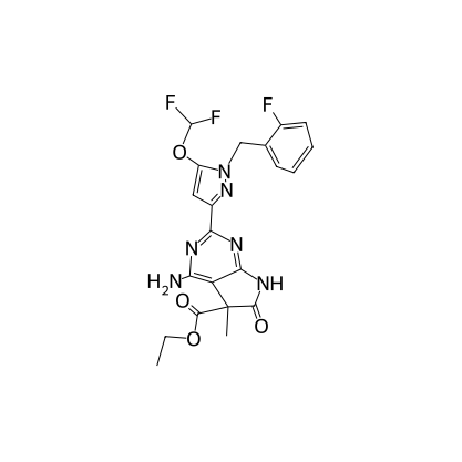 CCOC(=O)C1(C)C(=O)Nc2nc(-c3cc(OC(F)F)n(Cc4ccccc4F)n3)nc(N)c21